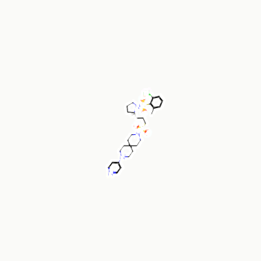 Cc1cccc(Cl)c1S(=O)(=O)N1CCC[C@H]1CCCS(=O)(=O)N1CCC2(CCN(c3ccncc3)CC2)CC1